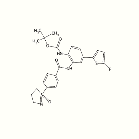 CC(C)(C)OC(=O)Nc1ccc(-c2ccc(F)s2)cc1NC(=O)c1ccc(S2(=O)=NCCC2)cc1